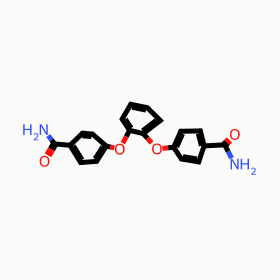 NC(=O)c1ccc(Oc2ccccc2Oc2ccc(C(N)=O)cc2)cc1